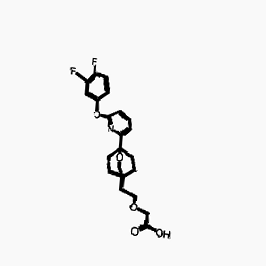 O=C(O)COCCC12CCC(c3cccc(Oc4ccc(F)c(F)c4)n3)(CC1)OC2